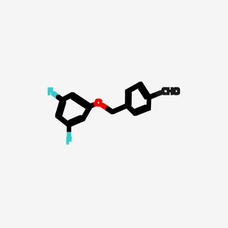 O=Cc1ccc(COc2cc(F)cc(F)c2)cc1